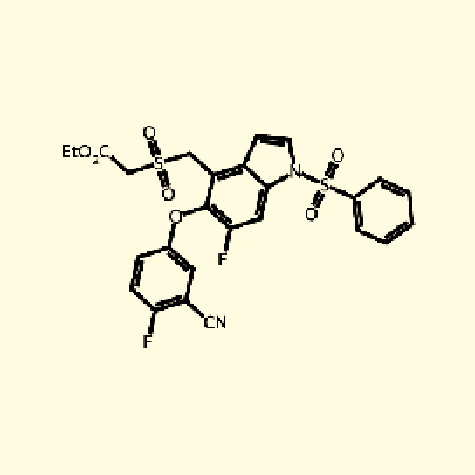 CCOC(=O)CS(=O)(=O)Cc1c(Oc2ccc(F)c(C#N)c2)c(F)cc2c1ccn2S(=O)(=O)c1ccccc1